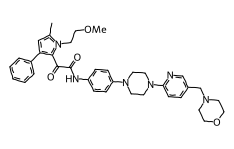 COCCn1c(C)cc(-c2ccccc2)c1C(=O)C(=O)Nc1ccc(N2CCN(c3ccc(CN4CCOCC4)cn3)CC2)cc1